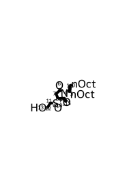 CCCCCCCC/C=C(\CCCCCCCC)N1C(=O)CC([S+]([O-])CCO)C1=O